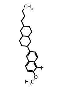 CCCCC1CCC2CC(c3ccc4c(F)c(OC)ccc4c3)CCC2C1